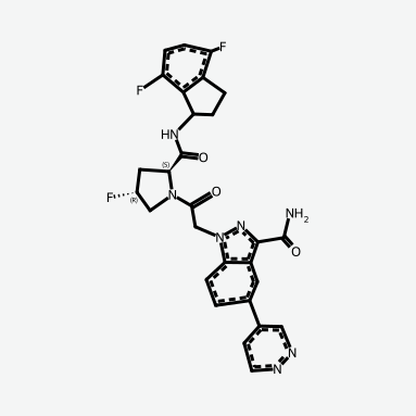 NC(=O)c1nn(CC(=O)N2C[C@H](F)C[C@H]2C(=O)NC2CCc3c(F)ccc(F)c32)c2ccc(-c3ccnnc3)cc12